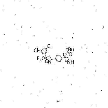 CC(C)(C)C(=O)OC1(c2ccc(C3=NO[C@@](c4cc(Cl)cc(Cl)c4)(C(F)(F)F)C3)cc2)CNC1